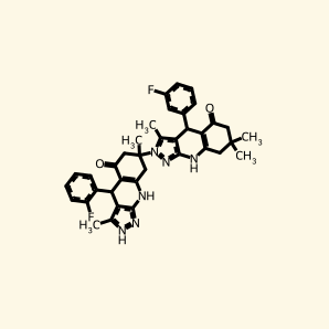 Cc1[nH]nc2c1C(c1ccccc1F)C1=C(CC(C)(n3nc4c(c3C)C(c3cccc(F)c3)C3=C(CC(C)(C)CC3=O)N4)CC1=O)N2